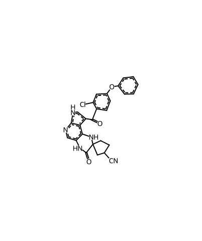 N#CC1CCC2(C1)Nc1c(cnc3[nH]cc(C(=O)c4ccc(Oc5ccccc5)cc4Cl)c13)NC2=O